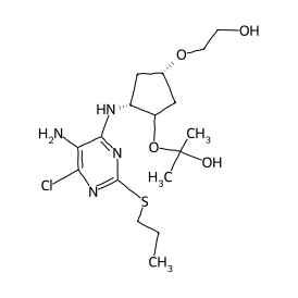 CCCSc1nc(Cl)c(N)c(N[C@@H]2C[C@H](OCCO)CC2OC(C)(C)O)n1